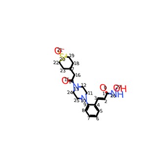 O=C(/C=C/c1ccccc1N1CCN(C(=O)CC2CC[S+]([O-])CC2)CC1)NO